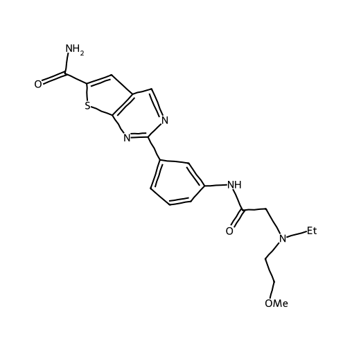 CCN(CCOC)CC(=O)Nc1cccc(-c2ncc3cc(C(N)=O)sc3n2)c1